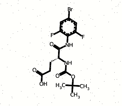 CC(C)(C)OC(=O)N[C@H](CCC(=O)O)C(=O)Nc1c(F)cc(Br)cc1F